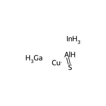 [AlH]=[S].[Cu].[GaH3].[InH3]